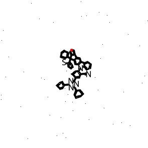 N#Cc1cc(-c2nc(-c3ccccc3)nc(-c3ccccc3)n2)ccc1-n1c2ccccc2c2cc3c(cc21)C1(c2ccccc2Sc2ccccc21)c1ccccc1-3